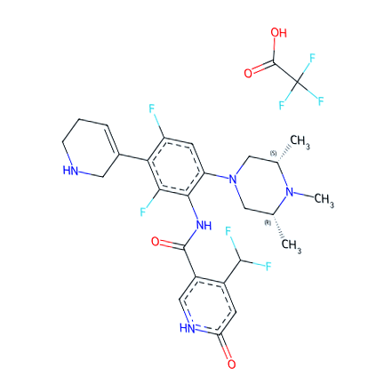 C[C@@H]1CN(c2cc(F)c(C3=CCCNC3)c(F)c2NC(=O)c2c[nH]c(=O)cc2C(F)F)C[C@H](C)N1C.O=C(O)C(F)(F)F